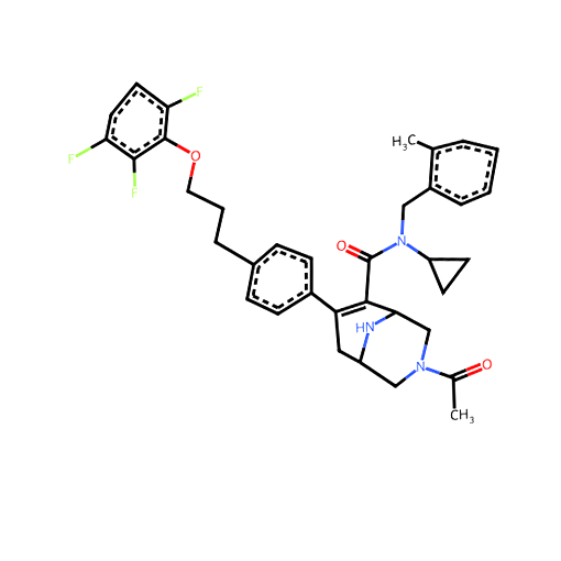 CC(=O)N1CC2CC(c3ccc(CCCOc4c(F)ccc(F)c4F)cc3)=C(C(=O)N(Cc3ccccc3C)C3CC3)C(C1)N2